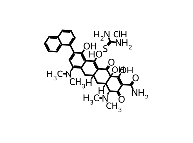 CN(C)c1cc(-c2cccc3ccccc23)c(O)c2c1C[C@H]1C[C@H]3[C@H](N(C)C)C(=O)C(C(N)=O)=C(O)[C@@]3(O)C(=O)C1=C2O.Cl.NC(N)=S